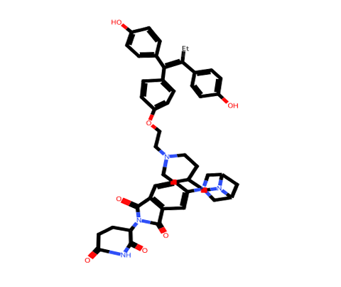 CCC(=C(c1ccc(O)cc1)c1ccc(OCCN2CCC(CN3C4CC3CN(c3ccc5c(c3)C(=O)N(C3CCC(=O)NC3=O)C5=O)C4)CC2)cc1)c1ccc(O)cc1